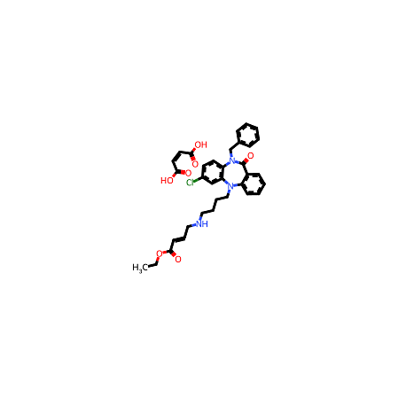 CCOC(=O)/C=C/CNCCCCN1c2ccccc2C(=O)N(Cc2ccccc2)c2ccc(Cl)cc21.O=C(O)/C=C\C(=O)O